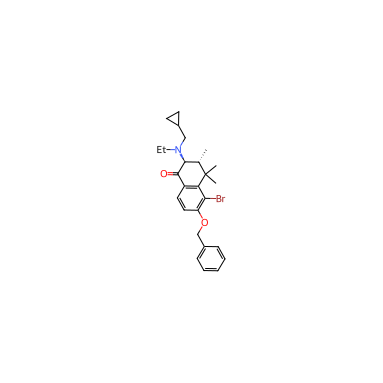 CCN(CC1CC1)[C@@H]1C(=O)c2ccc(OCc3ccccc3)c(Br)c2C(C)(C)[C@H]1C